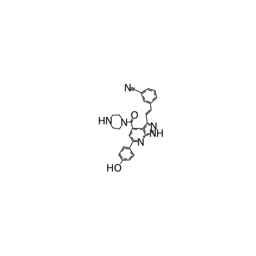 N#Cc1cccc(C=Cc2n[nH]c3nc(-c4ccc(O)cc4)cc(C(=O)N4CCNCC4)c23)c1